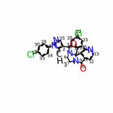 Cc1c(C(=O)N2CCN3C(=O)c4ccncc4C32c2ccc(Cl)cc2)cnn1-c1ccc(Cl)cc1